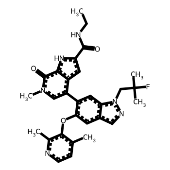 CCNC(=O)c1cc2c(-c3cc4c(cnn4CC(C)(C)F)cc3Oc3c(C)ccnc3C)cn(C)c(=O)c2[nH]1